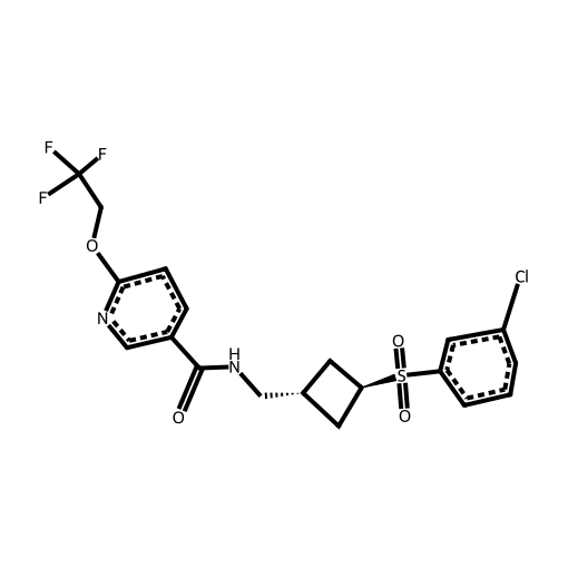 O=C(NC[C@H]1C[C@H](S(=O)(=O)c2cccc(Cl)c2)C1)c1ccc(OCC(F)(F)F)nc1